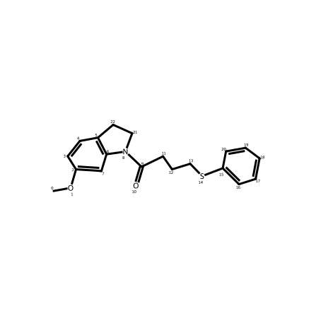 COc1ccc2c(c1)N(C(=O)CCCSc1ccccc1)CC2